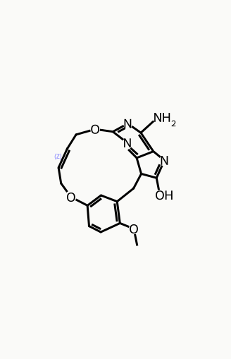 COc1ccc2cc1CC1C(O)=Nc3c(N)nc(nc31)OC/C=C\CO2